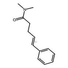 CN(C)C(=O)CC/C=C/c1ccccc1